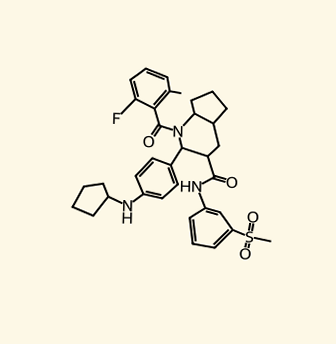 Cc1cccc(F)c1C(=O)N1C2CCCC2CC(C(=O)Nc2cccc(S(C)(=O)=O)c2)C1c1ccc(NC2CCCC2)cc1